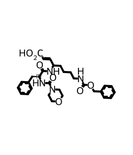 O=C(O)C=CC(CCCCNC(=O)OCc1ccccc1)NC(=O)[C@H](Cc1ccccc1)NC(=O)N1CCOCC1